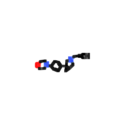 C#CCN1CC2CC2(C2=CCC(N3CCOCC3)C=C2)C1